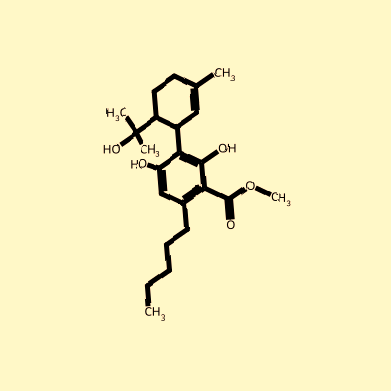 CCCCCc1cc(O)c(C2C=C(C)CCC2C(C)(C)O)c(O)c1C(=O)OC